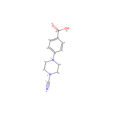 N#CN1CCN(c2ccc(C(=O)O)cc2)CC1